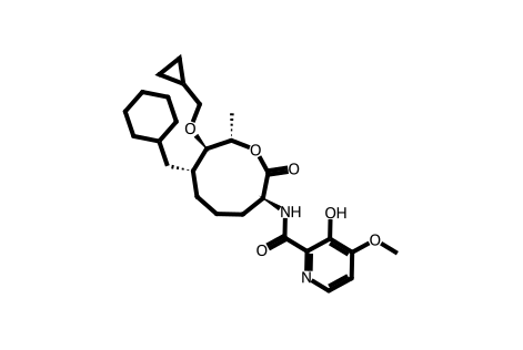 COc1ccnc(C(=O)N[C@H]2CCC[C@H](CC3CCCCC3)[C@@H](OCC3CC3)[C@H](C)OC2=O)c1O